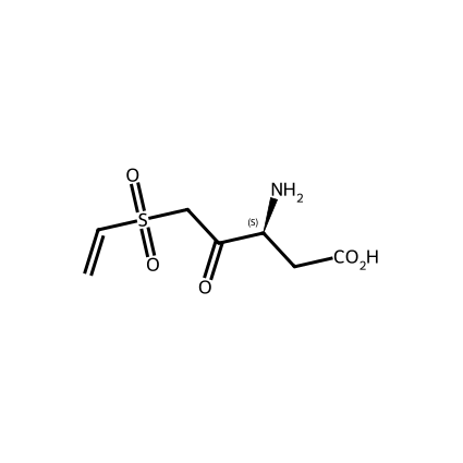 C=CS(=O)(=O)CC(=O)[C@@H](N)CC(=O)O